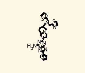 Nc1nc(N2CCN3CC(CN(Cc4nccs4)Cc4nccs4)CCC3C2)nc2nc(-c3ccco3)nn12